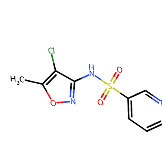 Cc1onc(NS(=O)(=O)c2cccnc2)c1Cl